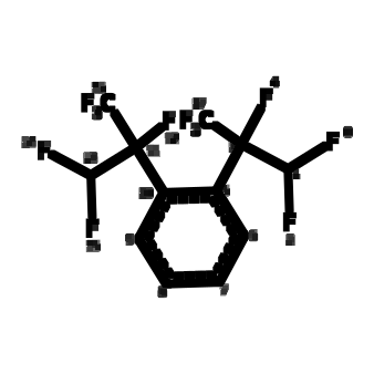 FC(F)C(F)(c1ccccc1C(F)(C(F)F)C(F)(F)F)C(F)(F)F